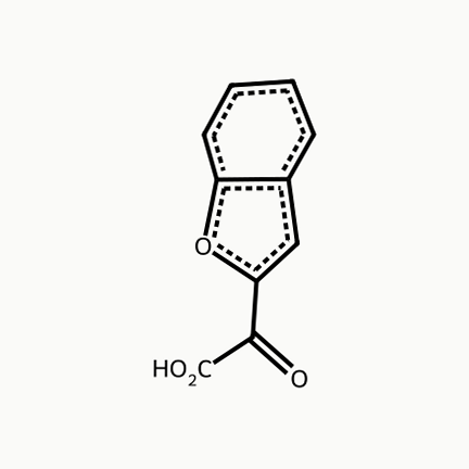 O=C(O)C(=O)c1cc2ccccc2o1